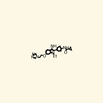 CCn1c(-c2ccc(NC(=O)C3CC3)cc2)c(N)c2ccc(OCCn3cnnc3)cc21